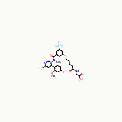 COc1cc(F)ccc1-c1cc(C)ncc1N(C)C(=O)c1cc(SCCCCC(=O)NCC(=O)O)cc(C(F)(F)F)c1